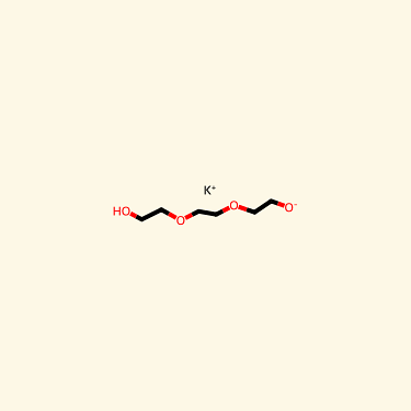 [K+].[O-]CCOCCOCCO